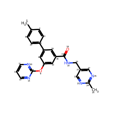 Cc1ccc(-c2cc(Oc3ncccn3)cc(C(=O)NCc3cnc(C)nc3)c2)cc1